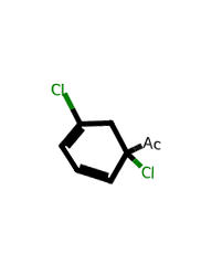 CC(=O)C1(Cl)C=CC=C(Cl)C1